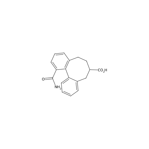 NC(=O)c1cccc2c1-c1ccccc1CC(C(=O)O)CC2